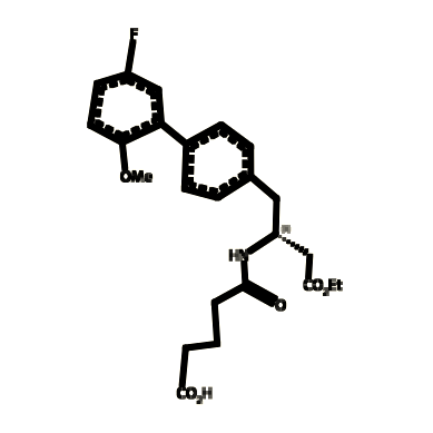 CCOC(=O)C[C@@H](Cc1ccc(-c2cc(F)ccc2OC)cc1)NC(=O)CCCC(=O)O